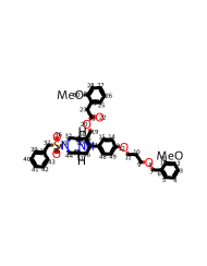 COc1ccccc1COCCCOc1ccc(C2=C(COC(=O)Cc3ccccc3OC)[C@H]3CN(S(=O)(=O)Cc4ccccc4)C[C@@H](C2)N3)cc1